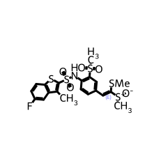 CS/C(=C\c1ccc(NS(=O)(=O)c2sc3ccc(F)cc3c2C)c(S(C)(=O)=O)c1)[S+](C)[O-]